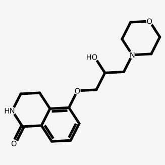 O=C1NCCc2c(OCC(O)CN3CCOCC3)cccc21